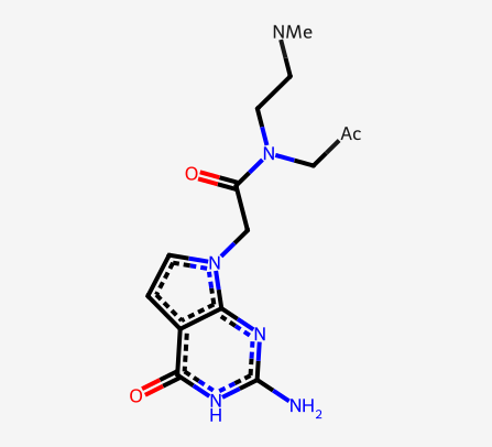 CNCCN(CC(C)=O)C(=O)Cn1ccc2c(=O)[nH]c(N)nc21